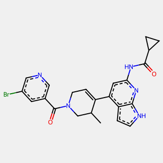 CC1CN(C(=O)c2cncc(Br)c2)CC=C1c1cc(NC(=O)C2CC2)nc2[nH]ccc12